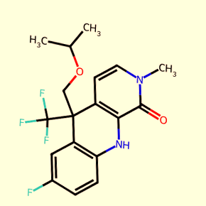 CC(C)OCC1(C(F)(F)F)c2cc(F)ccc2Nc2c1ccn(C)c2=O